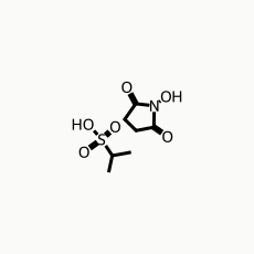 CC(C)S(=O)(=O)O.O=C1CCC(=O)N1O